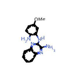 COc1ccc(N)c(Nc2nc3ccccc3nc2N)c1